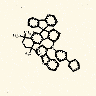 CC1(C)CCC(C)(C)c2cc3c(cc21)-c1c(N(c2ccc(-c4ccccc4)cc2)c2cccc4sc5ccccc5c24)cccc1C31c2ccccc2-c2ccccc21